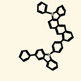 c1ccc(-c2ccc3c(c2)c2ccccc2n3-c2ccc(-c3cccc4cc5c(ccc6c5c5ccccc5n6-c5ccccc5)cc34)cc2)cc1